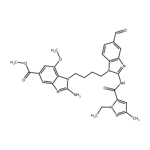 CCn1nc(C)cc1C(=O)Nc1nc2cc(C=O)ccc2n1CCCCn1c(N)nc2cc(C(=O)OC)cc(OC)c21